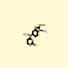 CNc1nc2cc(N(C)c3ccnc(Cl)n3)ccc2n1C